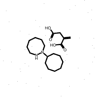 C1CCCC(N2CCCCCCN2)CCC1.C=C(CC(=O)O)C(=O)O